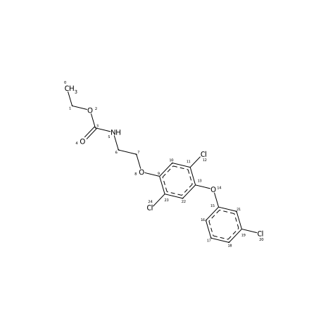 CCOC(=O)NCCOc1cc(Cl)c(Oc2cccc(Cl)c2)cc1Cl